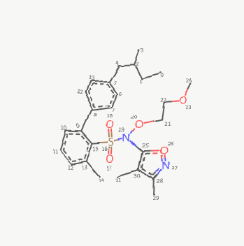 CCC(C)Cc1ccc(-c2cccc(C)c2S(=O)(=O)N(OCCOC)c2onc(C)c2C)cc1